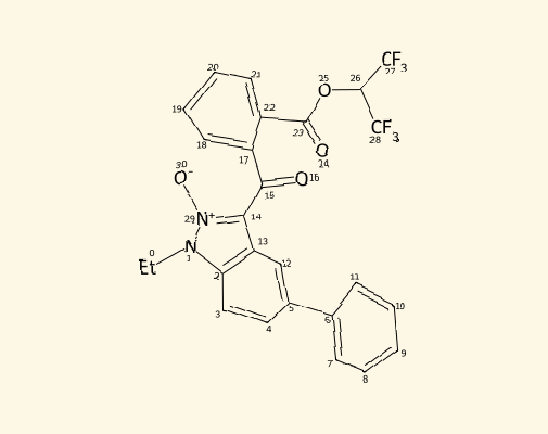 CCn1c2ccc(-c3ccccc3)cc2c(C(=O)c2ccccc2C(=O)OC(C(F)(F)F)C(F)(F)F)[n+]1[O-]